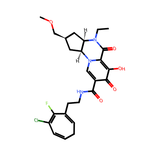 CCN1C(=O)c2c(O)c(=O)c(C(=O)NCCC3=CCC=CC(Cl)=C3F)cn2[C@H]2C[C@@H](COC)C[C@H]21